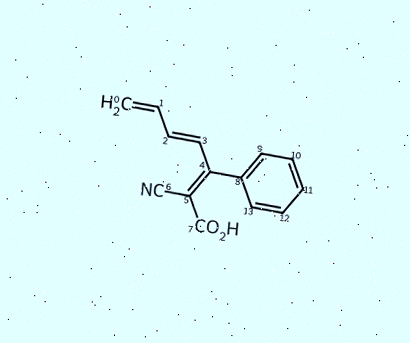 C=CC=CC(=C(C#N)C(=O)O)c1ccccc1